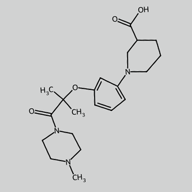 CN1CCN(C(=O)C(C)(C)Oc2cccc(N3CCCC(C(=O)O)C3)c2)CC1